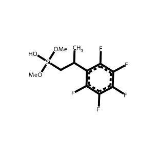 CO[Si](O)(CC(C)c1c(F)c(F)c(F)c(F)c1F)OC